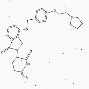 C=C1CCC(N2Cc3c(OCc4ccc(OCCN5CCCC5)cc4)cccc3C2=O)C(=O)N1